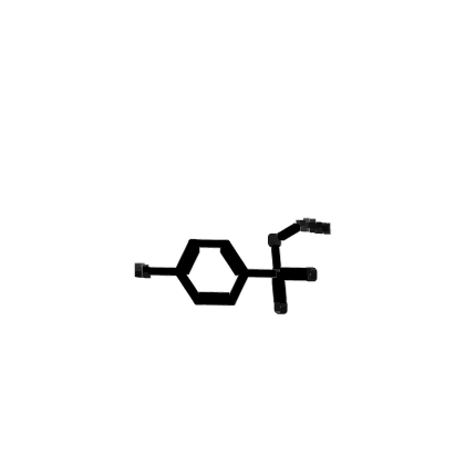 CCCCCCOS(=O)(=O)c1ccc(CC)cc1